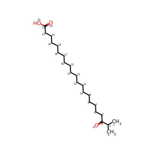 CC(C)C(=O)CCCCCCCCCCCCCCCCCCC(=O)O